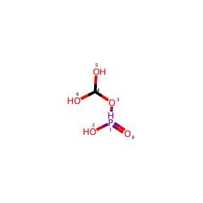 O=[PH](O)OC(O)O